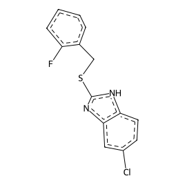 Fc1ccccc1CSc1nc2cc(Cl)ccc2[nH]1